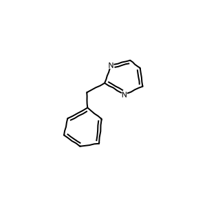 c1ccc(Cc2ncccn2)cc1